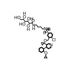 O=C(NCCCCNS(=O)(=O)c1ccc(Cl)c(COC2(c3cnccc3-c3ccccc3OC3CC3)CC2)c1)[C@@H](O)[C@@H](O)[C@H](O)[C@@H](O)CO